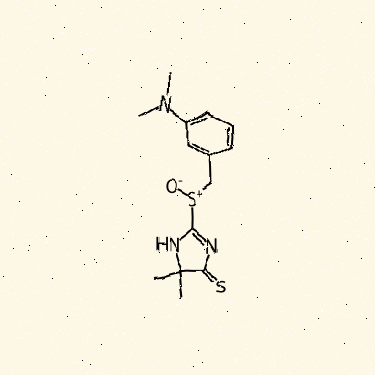 CN(C)c1cccc(C[S+]([O-])C2=NC(=S)C(C)(C)N2)c1